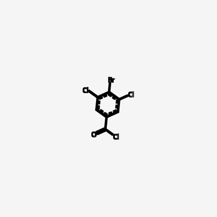 O=C(Cl)c1cc(Cl)c(Br)c(Cl)c1